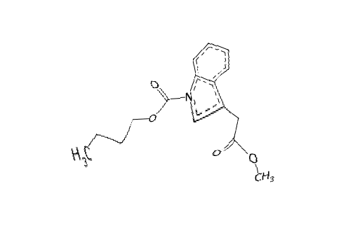 CCCCOC(=O)n1cc(CC(=O)OC)c2ccccc21